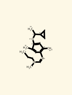 CCCN(C)/C=N\c1cc(C)c(OC(C)C2CC2)cc1C